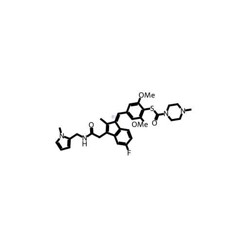 COc1cc(/C=C2/C(C)=C(CC(=O)NCc3cccn3C)c3cc(F)ccc32)cc(OC)c1SC(=O)N1CCN(C)CC1